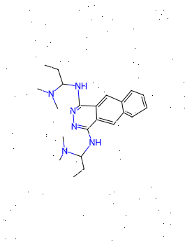 CCC(Nc1nnc(NC(CC)N(C)C)c2cc3ccccc3cc12)N(C)C